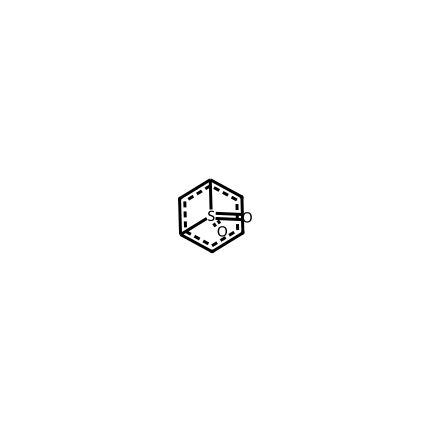 O=S1(=O)c2cccc1c2